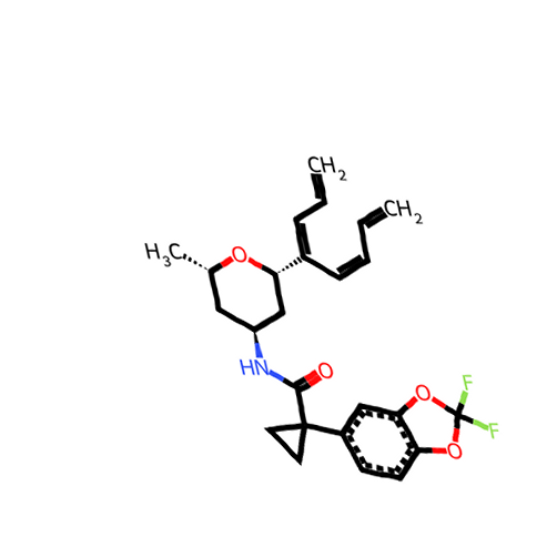 C=C/C=C\C(=C/C=C)[C@@H]1C[C@@H](NC(=O)C2(c3ccc4c(c3)OC(F)(F)O4)CC2)C[C@H](C)O1